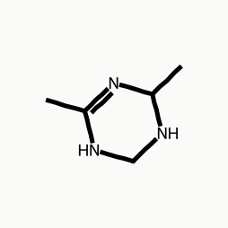 CC1=NC(C)NCN1